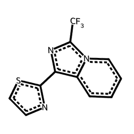 FC(F)(F)c1nc(-c2nccs2)c2ccccn12